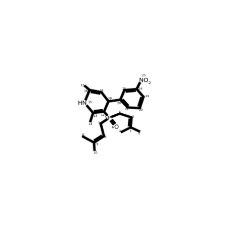 CC(C)=CCP(=O)(CC=C(C)C)C1=C(C)NC(C)=CC1c1cccc([N+](=O)[O-])c1